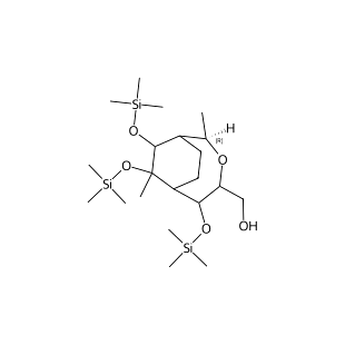 C[C@H]1OC(CO)C(O[Si](C)(C)C)C2CCC1C(O[Si](C)(C)C)C2(C)O[Si](C)(C)C